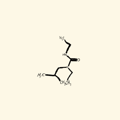 CCNC(=O)N(CC)CC(C)C